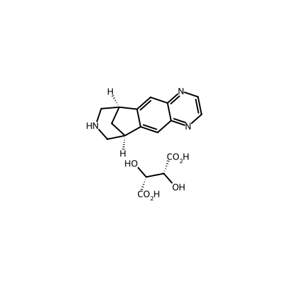 O=C(O)[C@H](O)[C@@H](O)C(=O)O.c1cnc2cc3c(cc2n1)[C@@H]1CNC[C@H]3C1